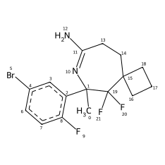 CC1(c2cc(Br)ccc2F)N=C(N)CCC2(CCC2)C1(F)F